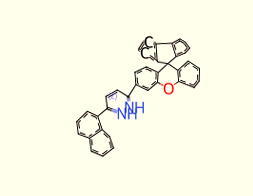 N=C(/C=C\C(=N)c1cccc2ccccc12)c1ccc2c(c1)Oc1ccccc1C21c2ccccc2-c2ccccc21